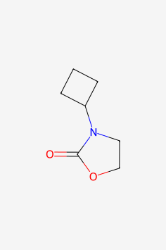 O=C1OCCN1C1CCC1